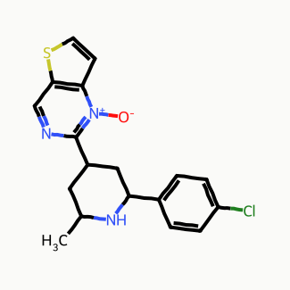 CC1CC(c2ncc3sccc3[n+]2[O-])CC(c2ccc(Cl)cc2)N1